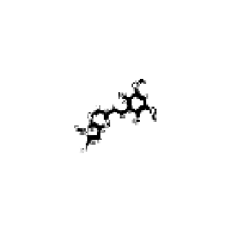 COc1cc(OC)c(F)c(CCc2cnc3c(cc(I)n3C)n2)c1F